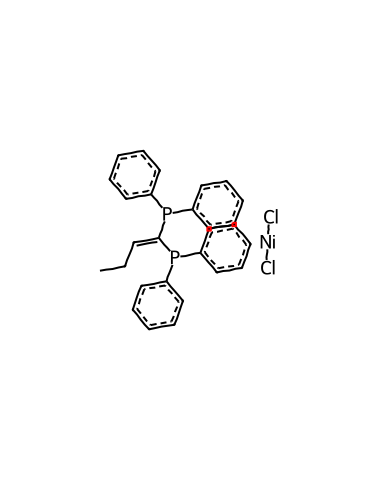 CCC=C(P(c1ccccc1)c1ccccc1)P(c1ccccc1)c1ccccc1.[Cl][Ni][Cl]